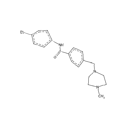 CCc1ccc(NC(=O)c2ccc(CN3CCN(C)CC3)cc2)cc1